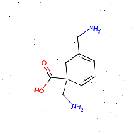 NCC1=CC=CC(CN)(C(=O)O)C1